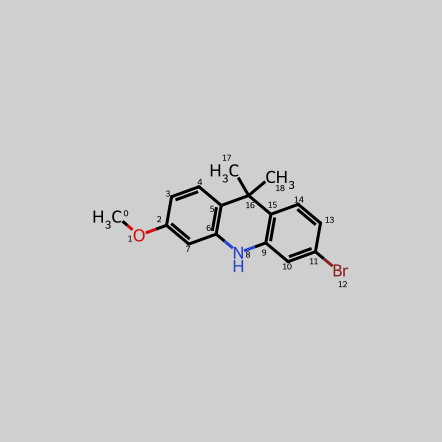 COc1ccc2c(c1)Nc1cc(Br)ccc1C2(C)C